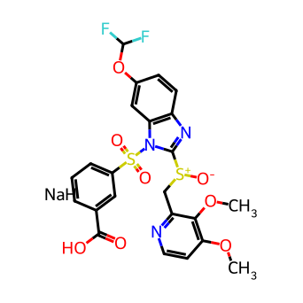 COc1ccnc(C[S+]([O-])c2nc3ccc(OC(F)F)cc3n2S(=O)(=O)c2cccc(C(=O)O)c2)c1OC.[NaH]